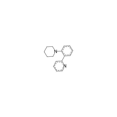 c1ccc(-c2ccccc2N2CCCCC2)nc1